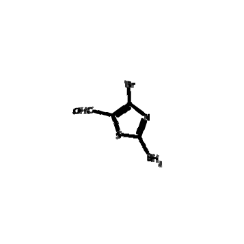 Bc1nc(Br)c(C=O)s1